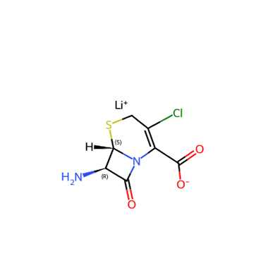 N[C@@H]1C(=O)N2C(C(=O)[O-])=C(Cl)CS[C@@H]12.[Li+]